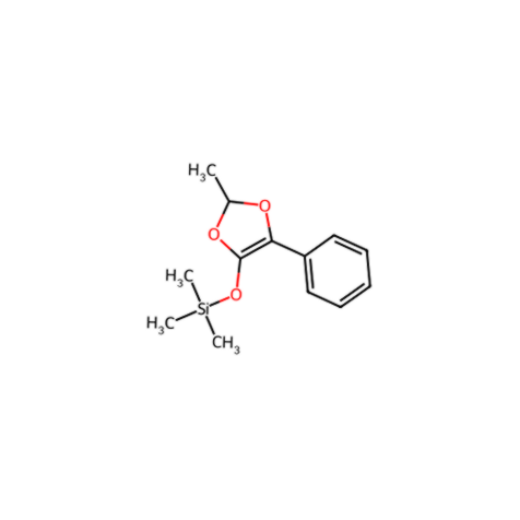 CC1OC(O[Si](C)(C)C)=C(c2ccccc2)O1